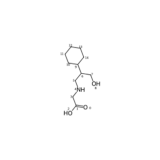 O=C(O)CNCC(CO)C1CCCCC1